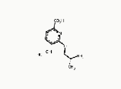 C[C@@H](N)COc1cccc(C(=O)O)n1.Cl.Cl